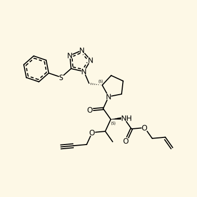 C#CCOC(C)[C@H](NC(=O)OCC=C)C(=O)N1CCC[C@H]1Cn1nnnc1Sc1ccccc1